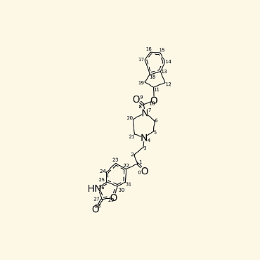 O=C(CCN1CCN(C(=O)OC2Cc3ccccc3C2)CC1)c1ccc2[nH]c(=O)oc2c1